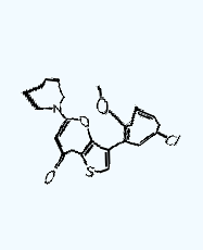 COc1ccc(Cl)cc1-c1csc2c(=O)cc(N3CCCCC3)oc12